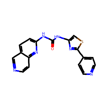 O=C(Nc1csc(-c2ccncc2)n1)Nc1ccc2cnccc2n1